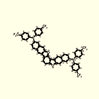 FC(F)(F)c1ccc(N(c2ccc(C(F)(F)F)cc2)c2ccc3cc4c(cc3c2)oc2c4ccc3oc4cc5cc(N(c6ccc(C(F)(F)F)cc6)c6ccc(C(F)(F)F)cc6)ccc5cc4c32)cc1